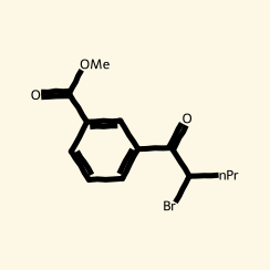 CCCC(Br)C(=O)c1cccc(C(=O)OC)c1